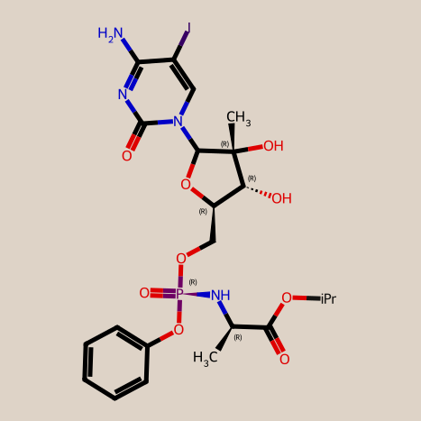 CC(C)OC(=O)[C@@H](C)N[P@@](=O)(OC[C@H]1OC(n2cc(I)c(N)nc2=O)[C@](C)(O)[C@@H]1O)Oc1ccccc1